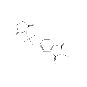 CC(C)(C)N1C(=O)c2ccc(CC(C)(C)N3C(=O)CCC3=O)cc2C1=O